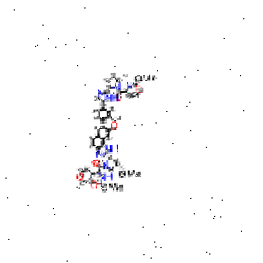 COC[C@H]1C[C@@H](c2nc3ccc4cc5c(cc4c3[nH]2)OCc2cc(-c3cnc([C@@H]4CC[C@H](C)N4C(=O)[C@@H](NC(=O)OC)C(C)C)[nH]3)ccc2-5)N(C(=O)[C@@H](NC(=O)OC)C2CCOCC2)C1